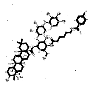 C[C@@H]1O[C@@H](O[C@H]2[C@H](OC(=O)[C@]34CCC(C)(C)C[C@H]3C3=CC[C@@H]5[C@@]6(C)CC[C@H](O)[C@@](C)(C=O)[C@@H]6CC[C@@]5(C)[C@]3(C)CC4)O[C@H](CO)[C@H](NC(=O)CCCCCNC(=O)c3ccc(I)cc3)[C@@H]2O)[C@H](O)[C@H](O)[C@H]1O[C@@H]1OC[C@@H](O)[C@H](O)[C@H]1O